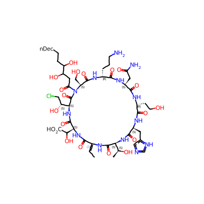 C/C=C1\NC(=O)[C@H]([C@H](C)O)NC(=O)[C@H](Cc2cnc[nH]2)NC(=O)[C@@H](CCO)NC(=O)[C@H](CC(N)=O)NC(=O)[C@@H](CCCN)NC(=O)[C@H](CO)N(C(=O)CC(O)C(O)CCCCCCCCCCCC)C(=O)[C@H]([C@H](O)CCl)NC(=O)[C@H](C(O)C(=O)O)NC1=O